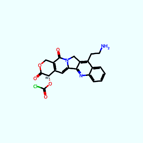 NCCc1c2c(nc3ccccc13)-c1cc3c(c(=O)n1C2)COC(=O)[C@H]3OC(=O)Cl